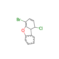 ClC1C=CC(Br)=C2Oc3ccccc3C21